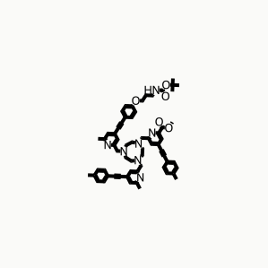 COC(=O)c1cc(C#Cc2ccc(C)cc2)cc(CN2CCN(Cc3cc(C#Cc4ccc(C)cc4)cc(C)n3)CCN(Cc3cc(C#Cc4ccc(OCCCNC(=O)OC(C)(C)C)cc4)cc(C)n3)CC2)n1